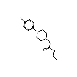 CCOC(=O)OC1CCN(c2ccc(F)cc2)CC1